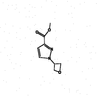 COC(=O)c1ccn(C2COC2)n1